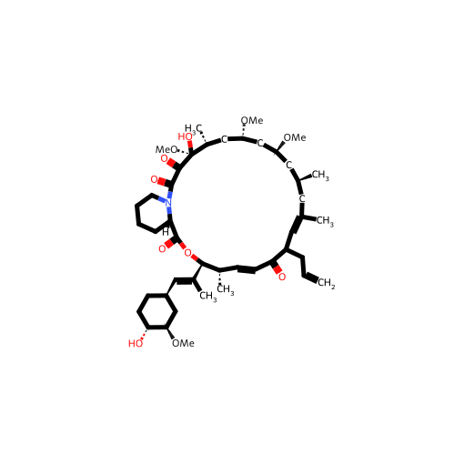 C=CCC1/C=C(\C)C[C@H](C)C[C@H](OC)C[C@@H](OC)C[C@@H](C)[C@@](O)(OC)C(=O)C(=O)N2CCCC[C@H]2C(=O)O[C@H](/C(C)=C/[C@@H]2CC[C@@H](O)[C@H](OC)C2)[C@@H](C)/C=C/C1=O